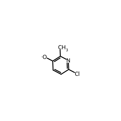 Cc1nc(Cl)ccc1[O]